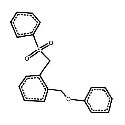 O=S(=O)(Cc1ccccc1COc1cc[c]cc1)c1ccccc1